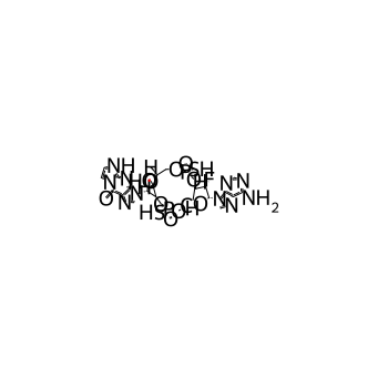 Nc1ncnc2c1ncn2[C@@H]1O[C@@H]2COP(=O)(S)OC3[C@H](n4cnc5c(=O)n6cc[nH]c6nc54)O[C@H](COP(=O)(S)O[C@H]2[C@@H]1F)[C@H]3O